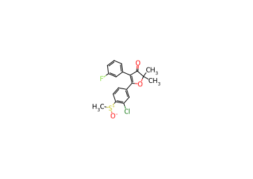 C[S+]([O-])c1ccc(C2=C(c3cccc(F)c3)C(=O)C(C)(C)O2)cc1Cl